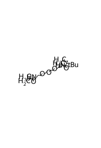 C=C(C)C(=O)NCCCOCCOCCOCCCNC(=O)C1(C(C)(C)C)CC1(C)C